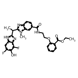 CCOC(=O)c1ccccc1OCCNC(=O)c1ccc2nc(C(C)c3nc4c(F)c(O)c(F)cc4[nH]3)n(C)c2c1